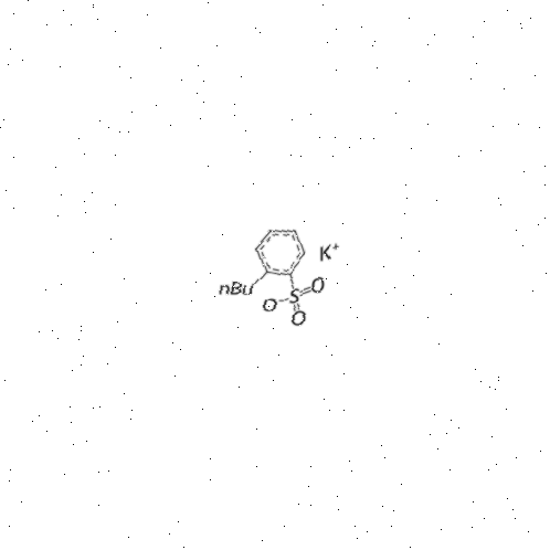 CCCCc1ccccc1S(=O)(=O)[O-].[K+]